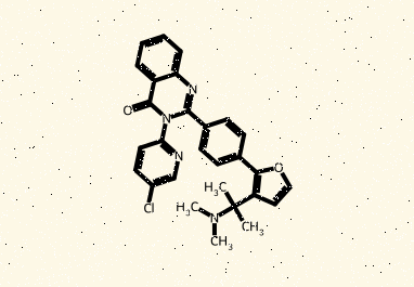 CN(C)C(C)(C)c1ccoc1-c1ccc(-c2nc3ccccc3c(=O)n2-c2ccc(Cl)cn2)cc1